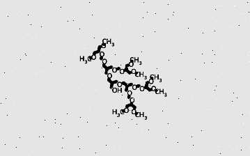 COCC(COC)OCOCC(COCOC(COC)COC)COCC(CO)COCC(COCOC(COC)COC)COCOC(COC)COC